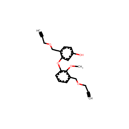 C#CCOCc1ccc(O)cc1Oc1cccc(COCC#C)c1OC